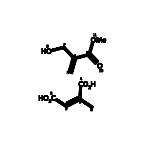 C/C(=C/C(=O)O)C(=O)O.C=C(CO)C(=O)OC